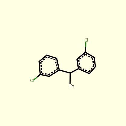 CC(C)C(c1cccc(Cl)c1)c1cccc(Cl)c1